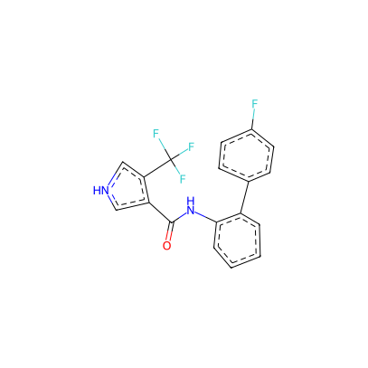 O=C(Nc1ccccc1-c1ccc(F)cc1)c1c[nH]cc1C(F)(F)F